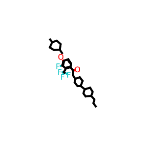 CCCC1CCC(C2CCC(CC(=O)c3ccc(OCC4CCC(C)CC4)c(F)c3C(F)(F)F)CC2)CC1